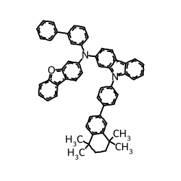 CC1(C)CCC(C)(C)c2cc(-c3ccc(-n4c5ccccc5c5ccc(N(c6cccc(-c7ccccc7)c6)c6ccc7c(c6)oc6ccccc67)cc54)cc3)ccc21